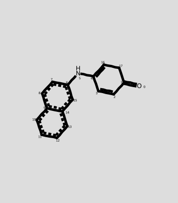 O=C1C=CC(Nc2ccc3ccccc3c2)=CC1